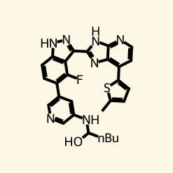 CCCCC(O)Nc1cncc(-c2ccc3[nH]nc(-c4nc5c(-c6ccc(C)s6)ccnc5[nH]4)c3c2F)c1